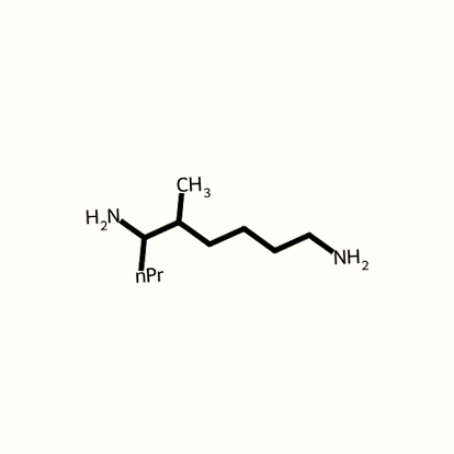 CCCC(N)C(C)CCCCN